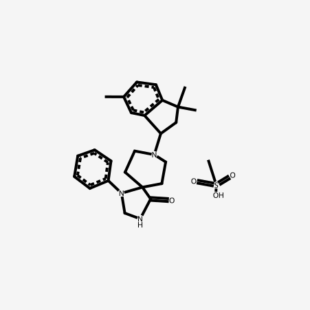 CS(=O)(=O)O.Cc1ccc2c(c1)C(N1CCC3(CC1)C(=O)NCN3c1ccccc1)CC2(C)C